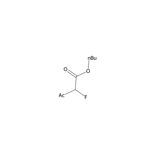 CCCCOC(=O)C(F)C(C)=O